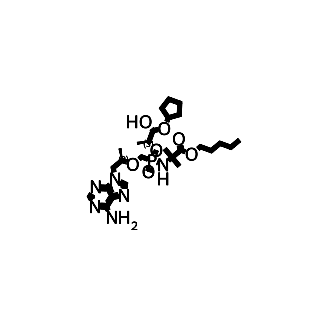 CCCCCOC(=O)C(C)(C)NP(=O)(CO[C@H](C)Cn1cnc2c(N)ncnc21)O[C@@H](C)C(O)OC1CCCC1